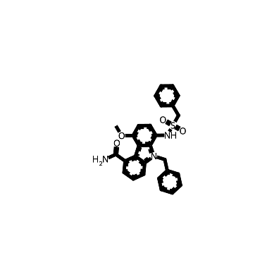 COc1ccc(NS(=O)(=O)Cc2ccccc2)c2c1c1c(C(N)=O)cccc1n2Cc1ccccc1